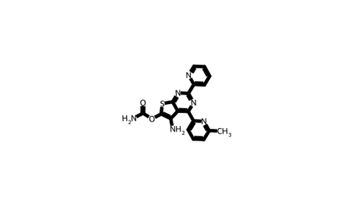 Cc1cccc(-c2nc(-c3ccccn3)nc3sc(OC(N)=O)c(N)c23)n1